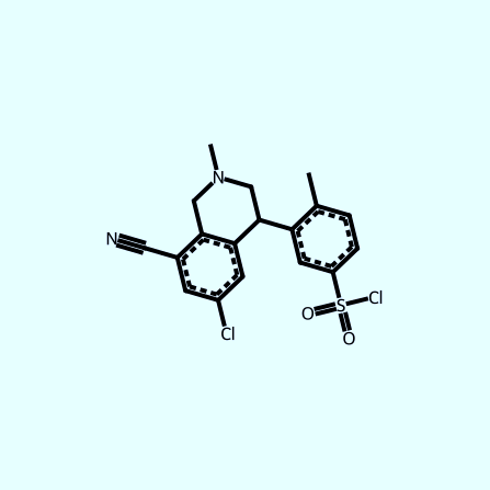 Cc1ccc(S(=O)(=O)Cl)cc1C1CN(C)Cc2c(C#N)cc(Cl)cc21